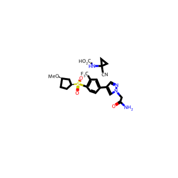 CO[C@H]1CC[C@H](S(=O)(=O)c2ccc(-c3cnn(CC(N)=O)c3)cc2C(F)(F)F)C1.N#CC1(NC(=O)O)CC1